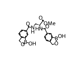 COC(=O)[C@H](CNC(=O)c1ccc2c(c1)B(O)OC2)NC(=O)c1ccc2c(c1)B(O)OC2